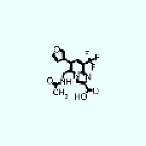 CC(=O)NCc1c(-c2ccoc2)cc(C(F)(F)F)c2nc(C(=O)O)cn12